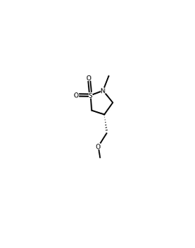 COC[C@H]1CN(C)S(=O)(=O)C1